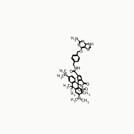 CN(C)c1ccc2c(c1)C(C)(C)c1cc(N(C)C)ccc1C21c2cc(C(=O)NCc3ccc(COc4nc(N)nc5[nH]cnc45)cc3)ccc2C(=O)N1S(C)(=O)=O